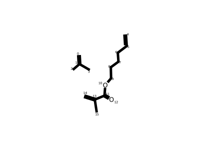 C=C(C)C.C=CCCCCOC(=O)C(=C)C